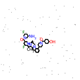 Cc1c(-c2cc3cccc(C4CCN(C(=O)C5CCC(O)CC5)CC4)c3n2CC2CC2)nn2cc(C(=O)N3C[C@H](N)C[C@@H](F)C3)cc(F)c12